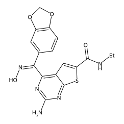 CCNC(=O)c1cc2c(/C(=N\O)c3ccc4c(c3)OCO4)nc(N)nc2s1